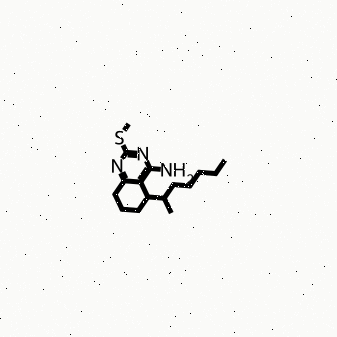 CCCCCC(C)C1CCCc2nc(SC)nc(N)c21